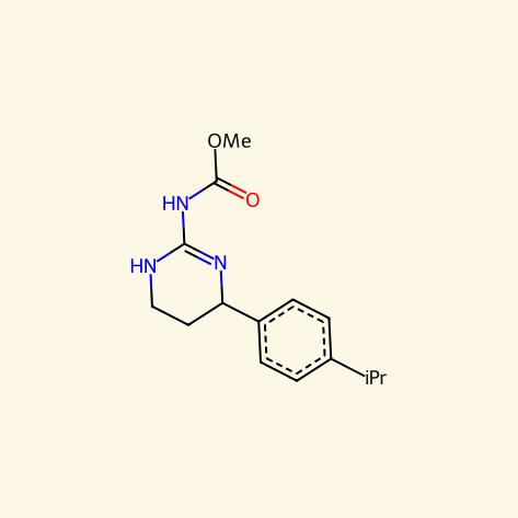 COC(=O)NC1=NC(c2ccc(C(C)C)cc2)CCN1